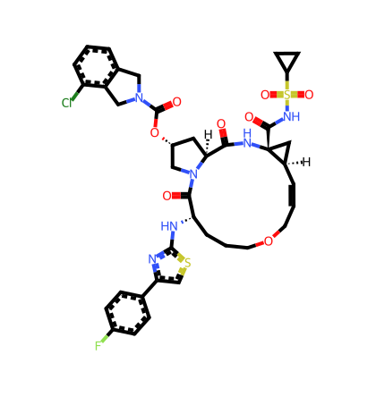 O=C1N[C@]2(C(=O)NS(=O)(=O)C3CC3)C[C@H]2/C=C\COCCC[C@H](Nc2nc(-c3ccc(F)cc3)cs2)C(=O)N2C[C@H](OC(=O)N3Cc4cccc(Cl)c4C3)C[C@@H]12